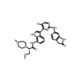 COC[C@H](C(=O)Nc1cccc2c(-c3nc(Nc4ccc5c(c4)NC(=O)C5)ncc3F)c[nH]c12)N1CCN(C)CC1